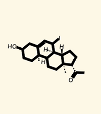 CC(=O)[C@H]1CC[C@H]2[C@@H]3C(I)C=C4CC(O)CC[C@]4(C)[C@H]3CC[C@]12C